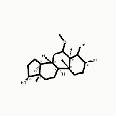 COC1C[C@@H]2[C@H](CC[C@]3(C)[C@@H](O)CC[C@@H]23)[C@@]2(C)CC[C@H](O)C(O)[C@H]12